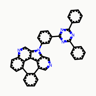 c1ccc(-c2nc(-c3ccccc3)nc(-c3cccc(-n4c5cncc6c5c5c7c(cccc7ncc54)-c4ccccc4-6)c3)n2)cc1